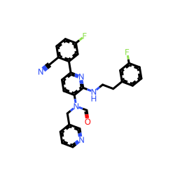 N#Cc1ccc(F)cc1-c1ccc(N(C=O)Cc2cccnc2)c(NCCc2cccc(F)c2)n1